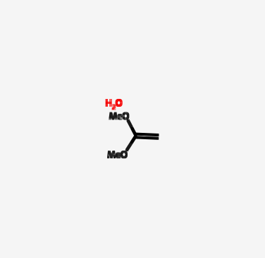 C=C(OC)OC.O